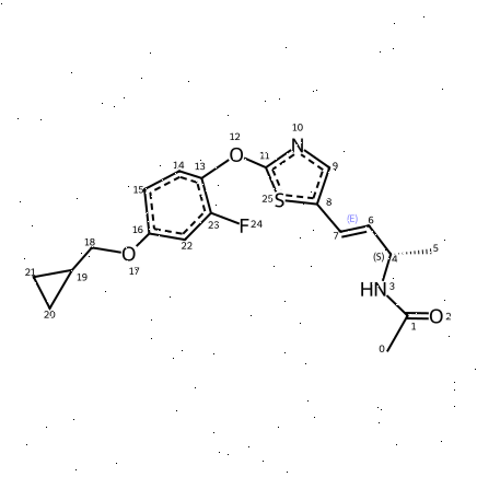 CC(=O)N[C@@H](C)/C=C/c1cnc(Oc2ccc(OCC3CC3)cc2F)s1